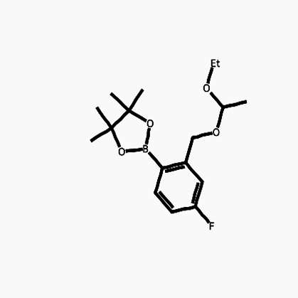 CCOC(C)OCc1cc(F)ccc1B1OC(C)(C)C(C)(C)O1